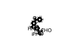 CC(C)[C@H]1COC(C=O)N1c1ccnc(N[C@@H](C)c2ccc(C(=O)c3ccccc3)cc2)n1